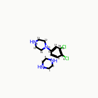 C1CNCCN1.Clc1ccc(N2CCNCC2)cc1Cl